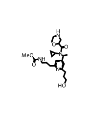 COC(=O)NCCCc1cc(C(C)N(C(=O)C2CNCCO2)C2CC2)cc(CCCO)n1